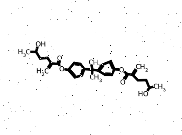 C=C(CCC(C)O)C(=O)Oc1ccc(C(C)(C)c2ccc(OC(=O)C(=C)CCC(C)O)cc2)cc1